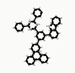 c1ccc(-c2nc(-c3ccccc3)nc(-c3cc(-c4ccc5c6ccccc6c6ccccc6c5c4)cc(-c4cccc5c4sc4ccccc45)c3)n2)cc1